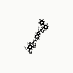 COc1cc(NC(=O)CCN2CCC3(CC2)CC(OC(=O)Nc2ccccc2-c2ccccc2)C3)c(Cl)cc1C=O